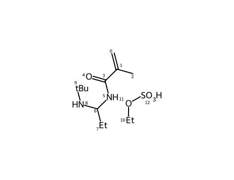 C=C(C)C(=O)NC(CC)NC(C)(C)C.CCOS(=O)(=O)O